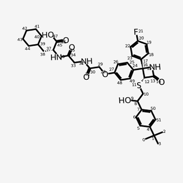 CC(C)(C)c1ccc(C(O)CS[C@H]2C(=O)N[C@@]2(c2ccc(F)cc2)c2ccc(OCC(=O)NCC(=O)N[C@H](CC3CCCCC3)C(=O)O)cc2)cc1